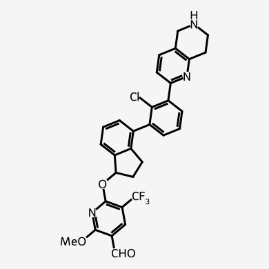 COc1nc(OC2CCc3c(-c4cccc(-c5ccc6c(n5)CCNC6)c4Cl)cccc32)c(C(F)(F)F)cc1C=O